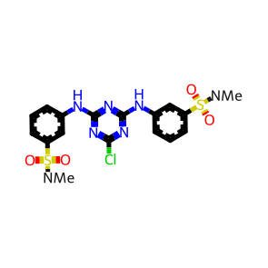 CNS(=O)(=O)c1cccc(Nc2nc(Cl)nc(Nc3cccc(S(=O)(=O)NC)c3)n2)c1